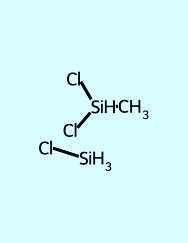 C[SiH](Cl)Cl.[SiH3]Cl